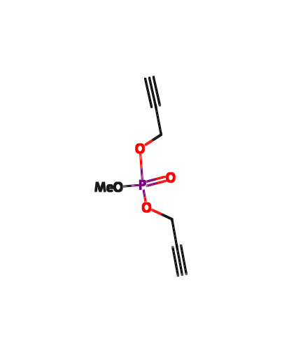 C#CCOP(=O)(OC)OCC#C